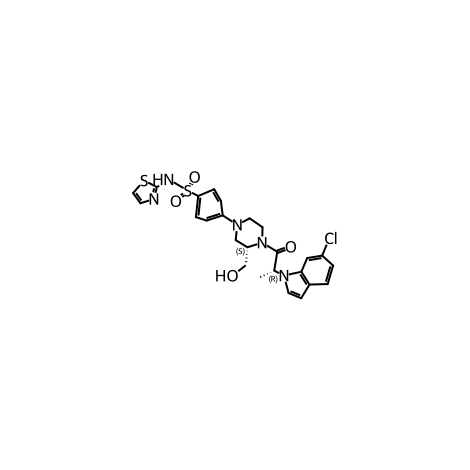 C[C@H](C(=O)N1CCN(c2ccc(S(=O)(=O)Nc3nccs3)cc2)C[C@H]1CO)n1ccc2ccc(Cl)cc21